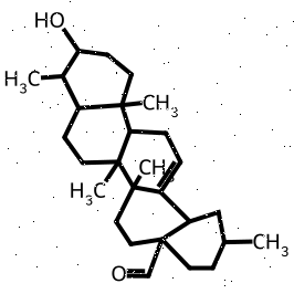 CC1CCC2(C=O)CCC3(C)C(=CCC4C5(C)CCC(O)C(C)C5CCC43C)C2C1